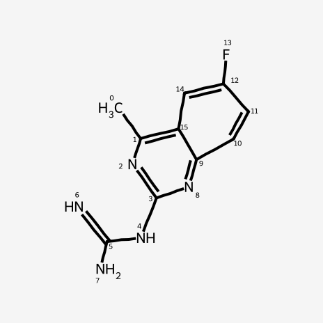 Cc1nc(NC(=N)N)nc2ccc(F)cc12